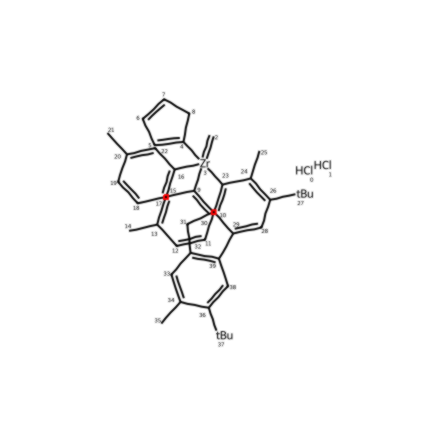 Cl.Cl.[CH2]=[Zr]([C]1=CC=CC1)([c]1cccc(C)c1)([c]1cccc(C)c1)[c]1c(C)c(C(C)(C)C)cc2c1Cc1cc(C)c(C(C)(C)C)cc1-2